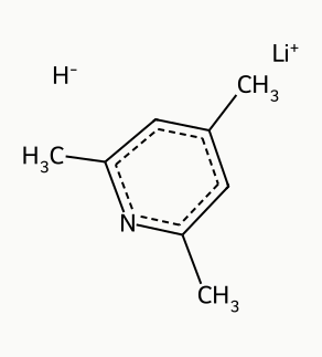 Cc1cc(C)nc(C)c1.[H-].[Li+]